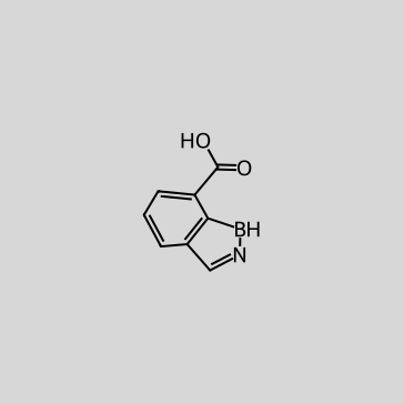 O=C(O)c1cccc2c1BN=C2